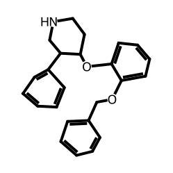 c1ccc(COc2ccccc2OC2CCNCC2c2ccccc2)cc1